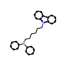 c1ccc([SiH](CCCCCCn2c3ccccc3c3ccccc32)c2ccccc2)cc1